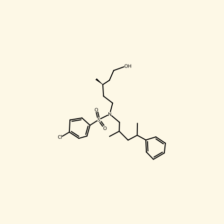 CC(CC(C)c1ccccc1)CN(CC[C@@H](C)CCO)S(=O)(=O)c1ccc(Cl)cc1